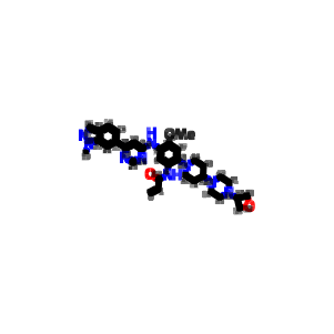 C=CC(=O)Nc1cc(Nc2cc(-c3ccc4cnn(C)c4c3)ncn2)c(OC)cc1N1CCC(N2CCN(C3COC3)CC2)CC1